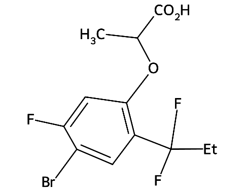 CCC(F)(F)c1cc(Br)c(F)cc1OC(C)C(=O)O